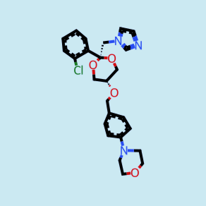 Clc1ccccc1[C@]1(Cn2ccnc2)OC[C@@H](OCc2ccc(N3CCOCC3)cc2)CO1